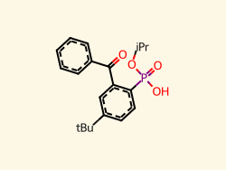 CC(C)OP(=O)(O)c1ccc(C(C)(C)C)cc1C(=O)c1ccccc1